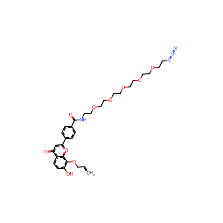 C=CCOc1c(O)ccc2c(=O)cc(-c3ccc(C(=O)NCCOCCOCCOCCOCCOCCN=[N+]=[N-])cc3)oc12